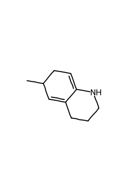 CC1C=C2CCCNC2=CC1